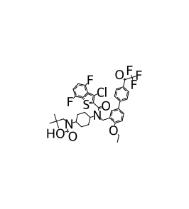 CCOc1ccc(-c2ccc(C(=O)C(F)(F)F)cc2)cc1CN(C(=O)c1sc2c(F)ccc(F)c2c1Cl)C1CCC(N(CC(C)(C)C)C(=O)O)CC1